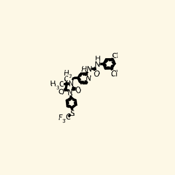 CC1(C)C(=O)N(c2ccc(SC(F)(F)F)cc2)C(=O)N1Cc1ccnc(NC(=O)Nc2cc(Cl)cc(Cl)c2)c1